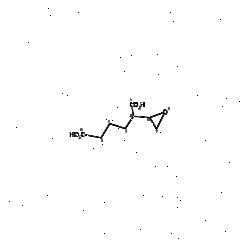 O=C(O)CCCC(C(=O)O)C1CO1